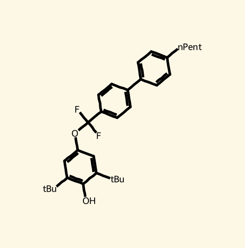 CCCCCc1ccc(-c2ccc(C(F)(F)Oc3cc(C(C)(C)C)c(O)c(C(C)(C)C)c3)cc2)cc1